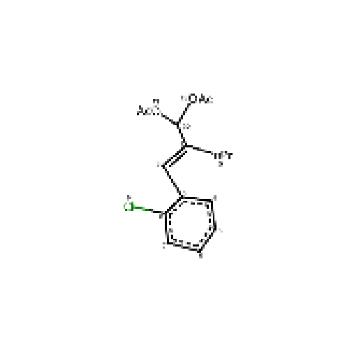 CCC/C(=C\c1ccccc1Cl)C(OC(C)=O)OC(C)=O